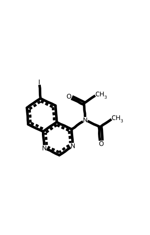 CC(=O)N(C(C)=O)c1ncnc2ccc(I)cc12